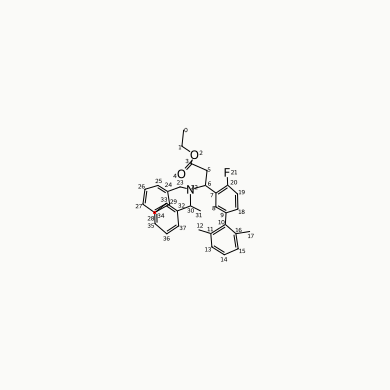 CCOC(=O)CC(c1cc(-c2c(C)cccc2C)ccc1F)N(Cc1ccccc1)C(C)c1ccccc1